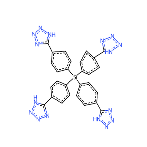 c1cc([Si](c2ccc(-c3nnn[nH]3)cc2)(c2ccc(-c3nnn[nH]3)cc2)c2ccc(-c3nnn[nH]3)cc2)ccc1-c1nnn[nH]1